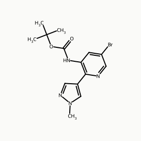 Cn1cc(-c2ncc(Br)cc2NC(=O)OC(C)(C)C)cn1